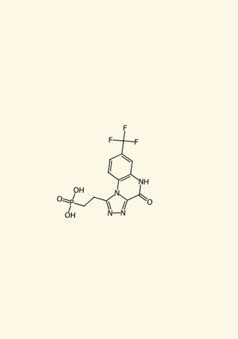 O=c1[nH]c2cc(C(F)(F)F)ccc2n2c(CCP(=O)(O)O)nnc12